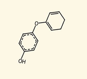 Oc1ccc(OC2=CCCC=C2)cc1